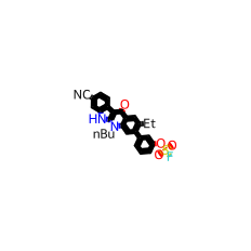 CCCCn1c2cc(-c3cccc(OS(=O)(=O)F)c3)c(CC)cc2c(=O)c2c3ccc(C#N)cc3[nH]c21